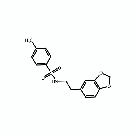 Cc1ccc(S(=O)(=O)NCCc2ccc3c(c2)OCO3)cc1